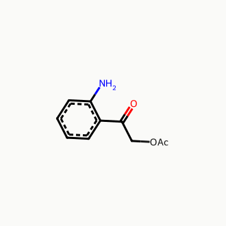 CC(=O)OCC(=O)c1ccccc1N